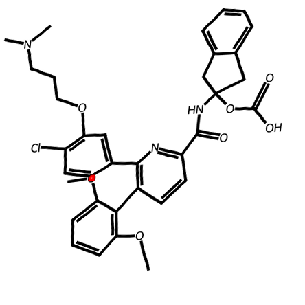 COc1cccc(OC)c1-c1ccc(C(=O)NC2(OC(=O)O)Cc3ccccc3C2)nc1-c1ccc(Cl)c(OCCCN(C)C)c1